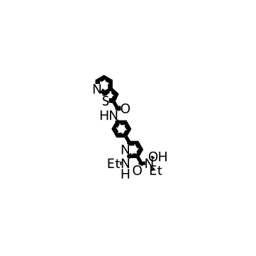 CCNc1nc(-c2ccc(NC(=O)c3cc4cccnc4s3)cc2)ccc1C(=O)N(O)CC